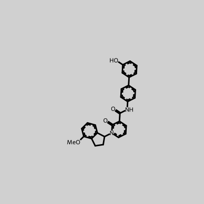 COc1cccc2c1CCC2n1cccc(C(=O)Nc2ccc(-c3cccc(O)c3)cc2)c1=O